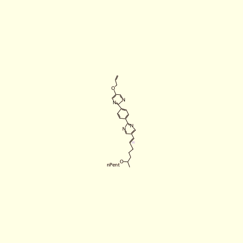 C=CCOc1cnc(-c2ccc(-c3ncc(/C=C/CCCC(C)OCCCCC)cn3)cc2)nc1